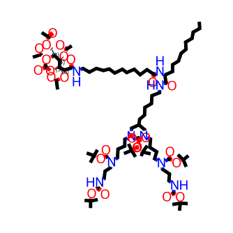 CCCCCCCCCCC(NC(=O)CCCCCCCCCCCNC(=O)[C@@H](OC(C)=O)[C@@H](OC(C)=O)[C@@H](OC(C)=O)[C@@H](COC(C)=O)OC(C)=O)C(=O)NCCCCCCC(CN(CCCCN(CCCNC(=O)OC(C)(C)C)C(=O)OC(C)(C)C)C(=O)OC(C)(C)C)CN(CCCCN(CCCNC(=O)OC(C)(C)C)C(=O)OC(C)(C)C)C(=O)OC(C)(C)C